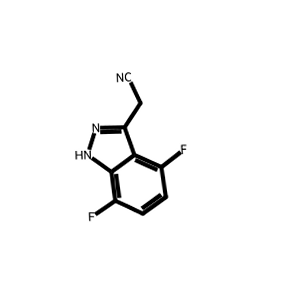 N#CCc1n[nH]c2c(F)ccc(F)c12